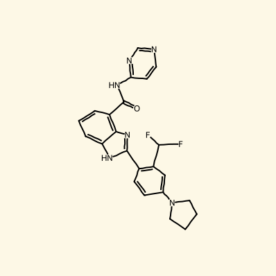 O=C(Nc1ccncn1)c1cccc2[nH]c(-c3ccc(N4CCCC4)cc3C(F)F)nc12